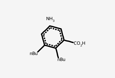 CCCCc1cccc(C(=O)O)c1CCCC.N